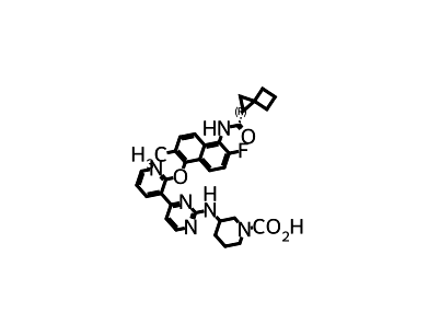 Cc1ccc2c(NC(=O)[C@@H]3CC34CCC4)c(F)ccc2c1Oc1ncccc1-c1ccnc(NC2CCCN(C(=O)O)C2)n1